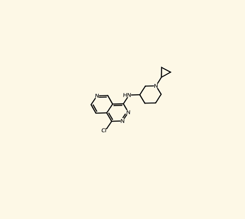 Clc1nnc(NC2CCCN(C3CC3)C2)c2cnccc12